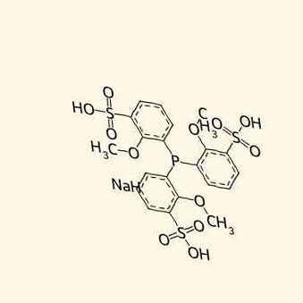 COc1c(P(c2cccc(S(=O)(=O)O)c2OC)c2cccc(S(=O)(=O)O)c2OC)cccc1S(=O)(=O)O.[NaH]